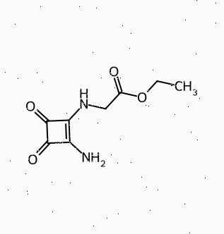 CCOC(=O)CNc1c(N)c(=O)c1=O